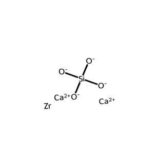 [Ca+2].[Ca+2].[O-][Si]([O-])([O-])[O-].[Zr]